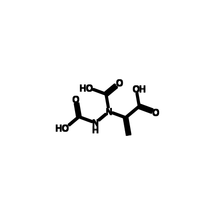 C=C(C(=O)O)N(NC(=O)O)C(=O)O